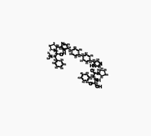 CN(C)[C@H](C(=O)N1CCC[C@H]1c1ncc(-c2ccc(-c3ccc(-c4cnc([C@@H]5CCCN5C(=O)[C@H](NC(=O)O)c5ccccc5)[nH]4)cc3)cc2)[nH]1)c1ccccc1